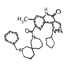 Cc1cc2[nH]c(=O)c3cnn(C4CCCC4)c3c2cc1C(=O)N1CCCC2(CCCN(Cc3ccccc3)C2)C1